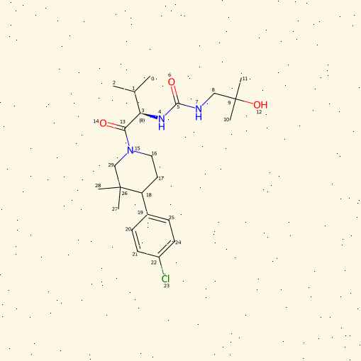 CC(C)[C@@H](NC(=O)NCC(C)(C)O)C(=O)N1CCC(c2ccc(Cl)cc2)C(C)(C)C1